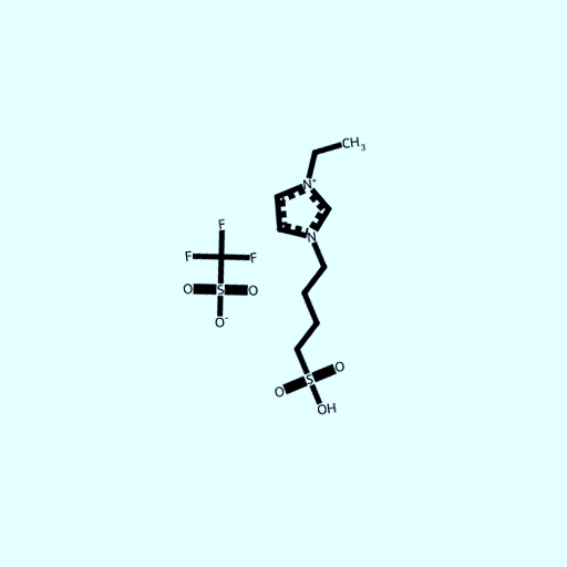 CC[n+]1ccn(CCCCS(=O)(=O)O)c1.O=S(=O)([O-])C(F)(F)F